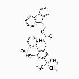 CC(C)(C)c1cc(S)c(-c2ccccc2C=O)c(CNC(=O)OCC2c3ccccc3-c3ccccc32)c1